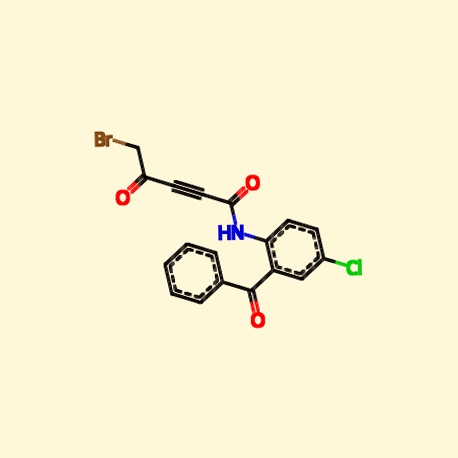 O=C(C#CC(=O)Nc1ccc(Cl)cc1C(=O)c1ccccc1)CBr